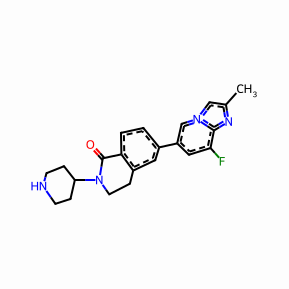 Cc1cn2cc(-c3ccc4c(c3)CCN(C3CCNCC3)C4=O)cc(F)c2n1